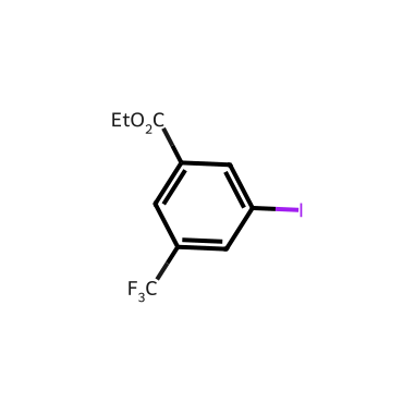 CCOC(=O)c1cc(I)cc(C(F)(F)F)c1